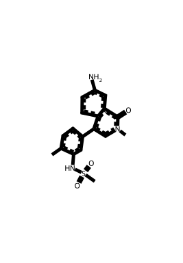 Cc1ccc(-c2cn(C)c(=O)c3cc(N)ccc23)cc1NS(C)(=O)=O